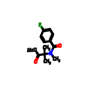 COC(=O)C(C)(C)N(C)C(=O)c1ccc(F)cc1